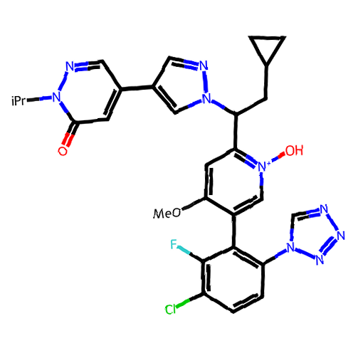 COc1cc(C(CC2CC2)n2cc(-c3cnn(C(C)C)c(=O)c3)cn2)[n+](O)cc1-c1c(-n2cnnn2)ccc(Cl)c1F